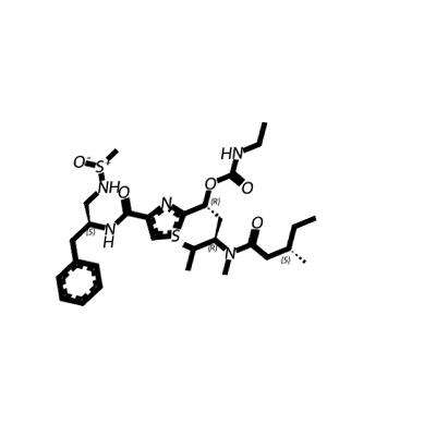 CCNC(=O)O[C@H](C[C@H](C(C)C)N(C)C(=O)C[C@@H](C)CC)c1nc(C(=O)N[C@H](CN[S+](C)[O-])Cc2ccccc2)cs1